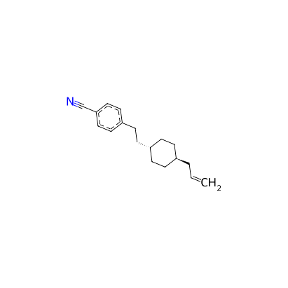 C=CC[C@H]1CC[C@H](CCc2ccc(C#N)cc2)CC1